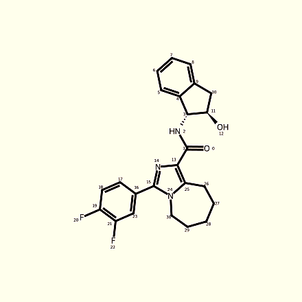 O=C(N[C@@H]1c2ccccc2C[C@H]1O)c1nc(-c2ccc(F)c(F)c2)n2c1CCCCC2